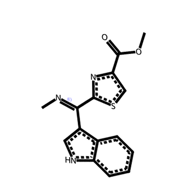 C/N=C(/c1nc(C(=O)OC)cs1)c1c[nH]c2ccccc12